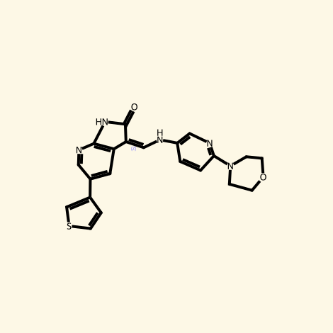 O=C1Nc2ncc(-c3ccsc3)cc2/C1=C/Nc1ccc(N2CCOCC2)nc1